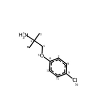 CC(C)(N)COc1ccc(Cl)cc1